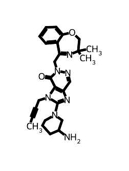 CC#CCn1c(N2CCCC(N)C2)nc2cnn(CC3=NC(C)(C)COc4ccccc43)c(=O)c21